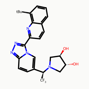 CC(C)(C)c1cccc2ccc(-c3nnc4ccc([C@@H](N5C[C@@H](O)[C@H](O)C5)C(F)(F)F)cn34)nc12